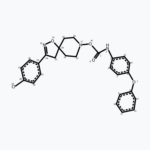 O=C(Nc1ccc(Oc2ccccc2)cc1)ON1CCC2(CC1)CC(c1ccc(Cl)cc1)=NO2